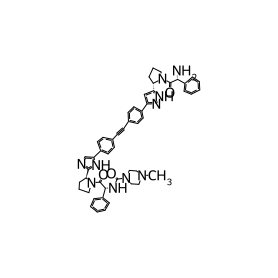 CN1CCN(C(=O)N[C@@H](C(=O)N2CCC[C@H]2c2ncc(-c3ccc(C#Cc4ccc(-c5cc([C@@H]6CCCN6C(=O)[C@H](N)c6ccccc6)[nH]n5)cc4)cc3)[nH]2)c2ccccc2)CC1